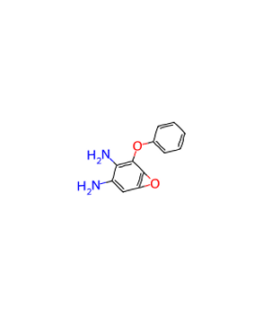 Nc1cc2c(c(Oc3ccccc3)c1N)O2